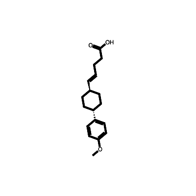 COc1ccc([C@H]2CC[C@H](C=CCCC(=O)O)CC2)cc1